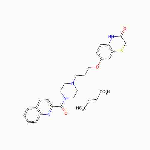 O=C(O)C=CC(=O)O.O=C1CSc2cc(OCCCN3CCN(C(=O)c4ccc5ccccc5n4)CC3)ccc2N1